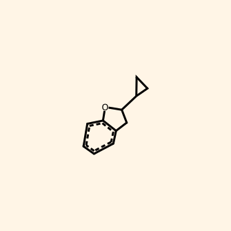 c1ccc2c(c1)CC(C1CC1)O2